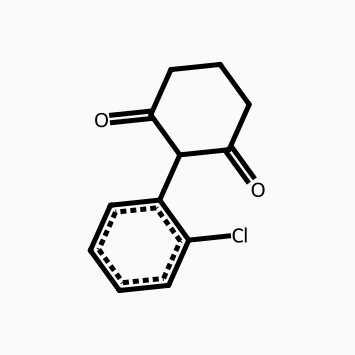 O=C1CCCC(=O)C1c1ccccc1Cl